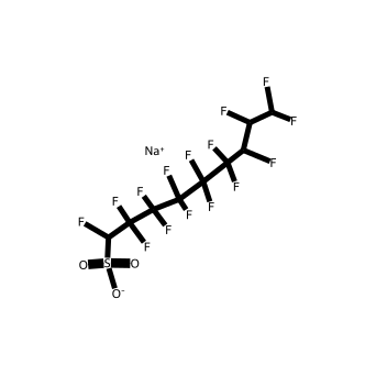 O=S(=O)([O-])C(F)C(F)(F)C(F)(F)C(F)(F)C(F)(F)C(F)(F)C(F)C(F)C(F)F.[Na+]